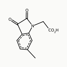 Cc1ccc2c(c1)N(CC(=O)O)C(=O)C2=O